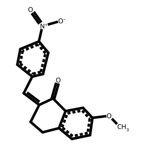 COc1ccc2c(c1)C(=O)/C(=C\c1ccc([N+](=O)[O-])cc1)CC2